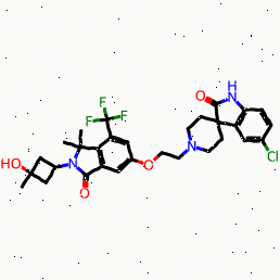 CC1(O)CC(N2C(=O)c3cc(OCCN4CCC5(CC4)C(=O)Nc4ccc(Cl)cc45)cc(C(F)(F)F)c3C2(C)C)C1